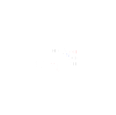 CC1(C)CC(C(=O)OCc2ccccc2)CC(C)(C)N1O